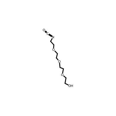 O=C=NCCOCCOCCOCCO